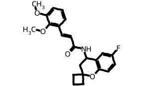 COc1cccc(/C=C/C(=O)NC2CC3(CCC3)Oc3ccc(F)cc32)c1OC